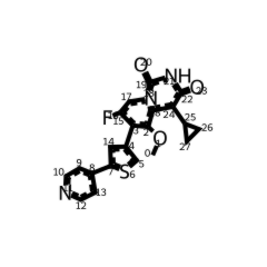 COc1c(-c2csc(-c3ccncc3)c2)c(F)cn2c(=O)[nH]c(=O)c(C3CC3)c12